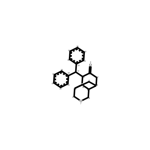 O=C1CC2CC3COCC2N3C1C(c1ccccc1)c1ccccc1